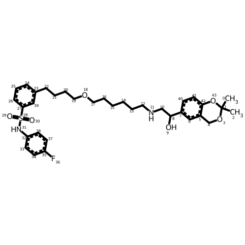 CC1(C)OCc2cc(C(O)CNCCCCCCOCCCCc3cccc(S(=O)(=O)Nc4ccc(F)cc4)c3)ccc2O1